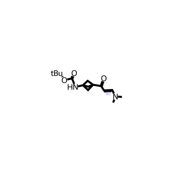 CN(C)/C=C/C(=O)C12CC(NC(=O)OC(C)(C)C)(C1)C2